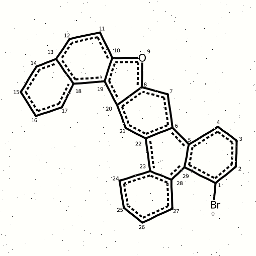 Brc1cccc2c3cc4oc5ccc6ccccc6c5c4cc3c3ccccc3c12